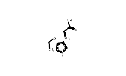 C=CC(=O)O.CCO.c1cc[nH]c1